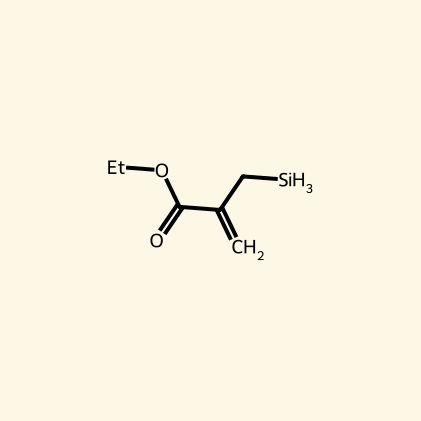 C=C(C[SiH3])C(=O)OCC